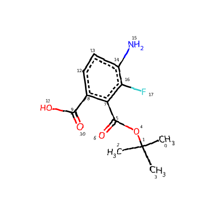 CC(C)(C)OC(=O)c1c(C(=O)O)ccc(N)c1F